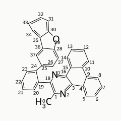 Cc1nc2c3ccccc3c3ccccc3c2nc1-c1ccccc1-c1ccc2oc3ccccc3c2c1